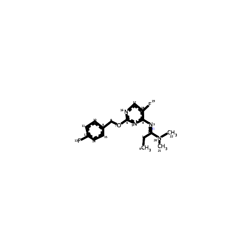 CC/C(=N\c1nc(OCc2ccc(F)cc2)ncc1F)N(C)C